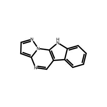 c1ccc2c(c1)[nH]c1c2cnc2ccnn21